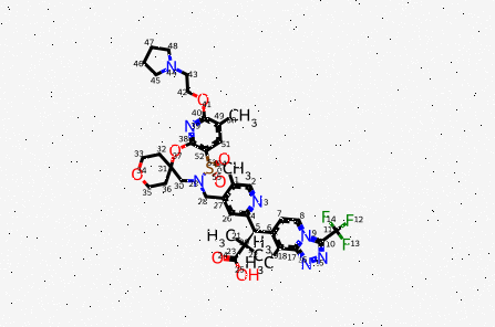 Cc1cnc([C@@H](c2ccn3c(C(F)(F)F)nnc3c2C)C(C)(C)C(=O)O)cc1CN1CC2(CCOCC2)Oc2nc(OCCN3CCCC3)c(C)cc2S1(=O)=O